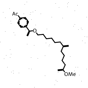 C=C(CCCCCCOC(=C)c1ccc(C(C)=O)cc1)CCCCC(=C)OC